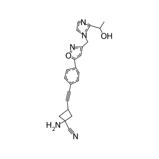 CC(O)c1nccn1Cc1cc(-c2ccc(C#CC3CC(N)(C#N)C3)cc2)on1